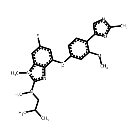 COc1cc(Nc2cc(F)cc3c2nc(N(C)CC(C)C)n3C)ccc1-c1cnc(C)o1